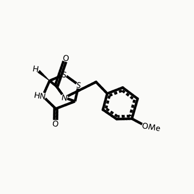 COc1ccc(CN2C(=O)[C@@H]3NC(=O)C2SS3)cc1